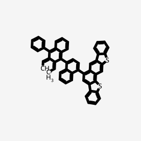 C/C=c1/c(-c2ccccc2)c2ccccc2c(-c2ccc(-c3cc4c5ccccc5sc4c4cc5sc6ccccc6c5cc34)c3ccccc23)/c1=C/C